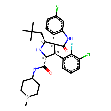 C[SiH]1CCC(NC(=O)[C@@H]2N[C@@H](CC(C)(C)C)[C@@]3(C(=O)Nc4cc(Cl)ccc43)[C@H]2c2cccc(Cl)c2F)CC1